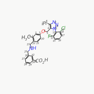 Cc1cc(OCc2c(C(C)C)nnn2-c2c(F)cccc2Cl)ccc1CNCc1cccc(C(=O)O)c1